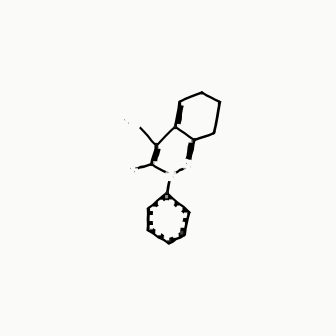 N#CC1=C(N)N(c2ccccc2)N=C2CCCC=C21